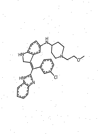 COCCN1CCC(Nc2ccc3c(c2)C(=C(c2cccc(Cl)c2)c2nc4ccccc4[nH]2)CN3)CC1